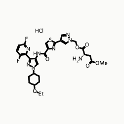 CCOC1CCC(n2cc(NC(=O)c3csc(-c4cnn(COC(=O)[C@@H](N)CC(=O)OC)c4)n3)c(-c3nc(F)ccc3F)n2)CC1.Cl